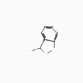 O=CC1NOc2ccccc21